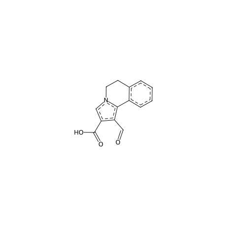 O=Cc1c(C(=O)O)cn2c1-c1ccccc1CC2